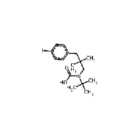 CC(C)(Cc1ccc(I)cc1)CN(C(=O)O)C(C)(C)C